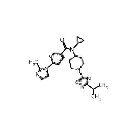 Cc1nccn1-c1ccc(C(=O)N(C2CC2)C2CCN(c3nc(C(C)C)no3)CC2)cn1